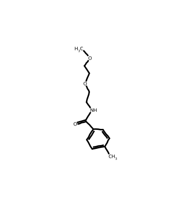 COCCOCCNC(=O)c1ccc(C)cc1